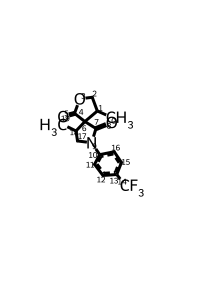 CC1COC(=O)C12C(=O)N(c1ccc(C(F)(F)F)cc1)CC2C